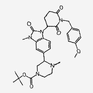 COc1ccc(CN2C(=O)CCC(n3c(=O)n(C)c4cc(C5CN(C(=O)OC(C)(C)C)CCN5C)ccc43)C2=O)cc1